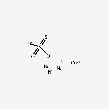 O=S([O-])([O-])=S.[Cu+2].[N].[N].[N].[N]